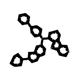 c1ccc(-c2ccc(N(c3ccc4ccc(-c5ccccc5)cc4c3)c3cccc4c3sc3ccncc34)cc2)cc1